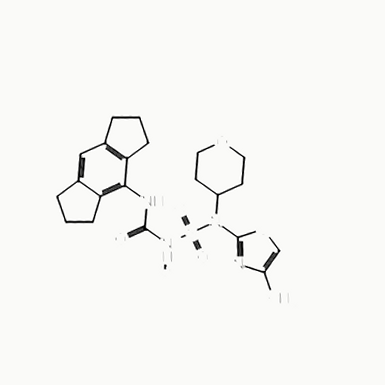 Cc1coc(N(C2CCOCC2)S(=O)(=O)[NH+]([O-])C(=O)Nc2c3c(cc4c2CCC4)CCC3)n1